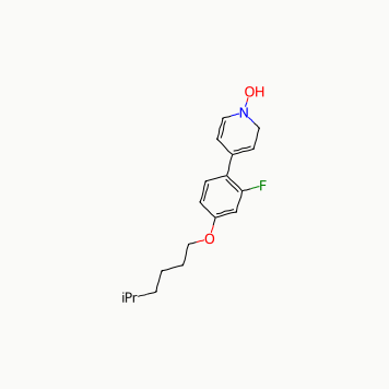 CC(C)CCCCOc1ccc(C2=CCN(O)C=C2)c(F)c1